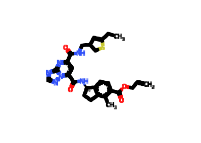 C=CCOC(=O)c1ccc2c(c1C)CC[C@@H]2NC(=O)c1cc(C(=O)NCC2C=C(CC)SC2)nc2ncnn12